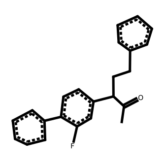 CC(=O)C(CCc1ccccc1)c1ccc(-c2ccccc2)c(F)c1